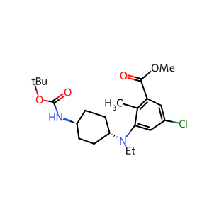 CCN(c1cc(Cl)cc(C(=O)OC)c1C)[C@H]1CC[C@H](NC(=O)OC(C)(C)C)CC1